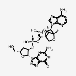 Nc1nc2c(nnn2[C@@H]2O[C@H](CO)C[C@H]2OP(O)(=S)OC[C@@]23CO[C@@H]([C@H](n4cnc5c(N)ncnc54)O2)[C@@H]3O[PH](O)=S)c(=O)[nH]1